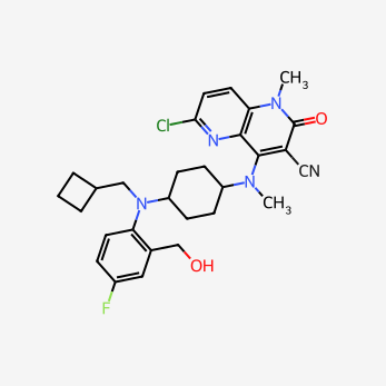 CN(c1c(C#N)c(=O)n(C)c2ccc(Cl)nc12)C1CCC(N(CC2CCC2)c2ccc(F)cc2CO)CC1